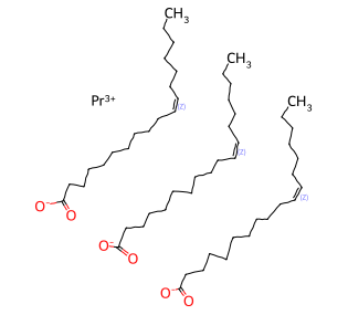 CCCCCC/C=C\CCCCCCCCCC(=O)[O-].CCCCCC/C=C\CCCCCCCCCC(=O)[O-].CCCCCC/C=C\CCCCCCCCCC(=O)[O-].[Pr+3]